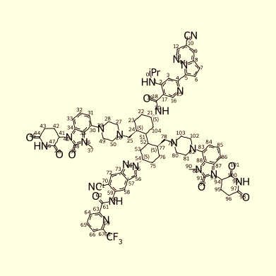 CC(C)Nc1cc(-c2ccc3cc(C#N)cnn23)ncc1C(=O)N[C@H]1CC[C@H](CN2CCN(c3cccc4c3n(C)c(=O)n4C3CCC(=O)NC3=O)CC2)C(C2C[C@@H](n3cc4cc(NC(=O)c5cccc(C(F)(F)F)n5)c(C#N)cc4n3)CC[C@@H]2CN2CCN(c3cccc4c3n(C)c(=O)n4C3CCC(=O)NC3=O)CC2)C1